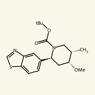 CO[C@@H]1C[C@@H](c2ccc3scnc3c2)N(C(=O)OC(C)(C)C)C[C@@H]1C